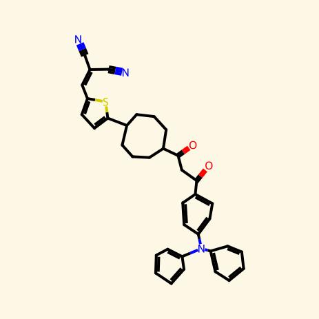 N#CC(C#N)=Cc1ccc(C2CCCC(C(=O)CC(=O)c3ccc(N(c4ccccc4)c4ccccc4)cc3)CCC2)s1